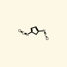 O=C=NC1=CC=C(N=C=O)C1